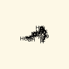 O=C(NCC(F)(F)F)c1ccc2c(n1)N(C(=O)Nc1cnc(OC[C@@H](O)CO)cn1)C1CCN2C1